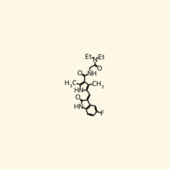 CCN(CC)C(=O)CNC(=O)c1c(C)[nH]c(C=C2C(=O)Nc3ccc(F)cc32)c1C